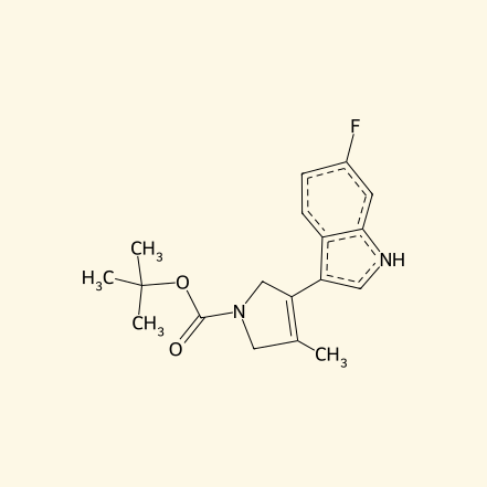 CC1=C(c2c[nH]c3cc(F)ccc23)CN(C(=O)OC(C)(C)C)C1